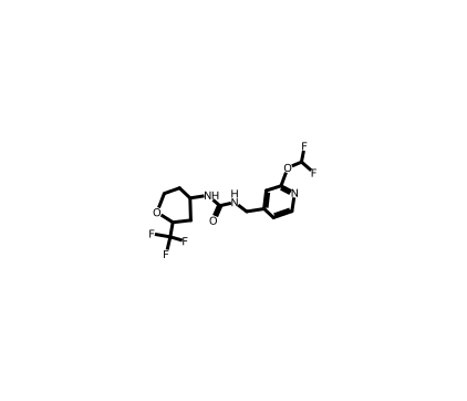 O=C(NCc1ccnc(OC(F)F)c1)NC1CCOC(C(F)(F)F)C1